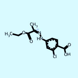 CCOC(=O)/C(C)=N\Nc1ccc(C(=O)O)c(Cl)c1